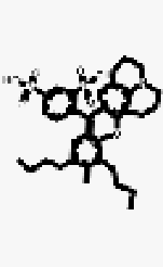 C=c1c(CCCC)cc2c(c1CCCC)Oc1c(cc3c4c1CCCN4CCC3)C=2c1ccc(S(=O)(=O)O)cc1S(=O)(=O)O